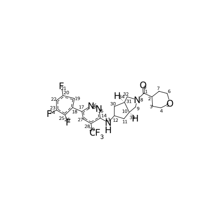 O=C(C1CCOCC1)N1C[C@H]2CC(Nc3nnc(-c4cc(F)cc(F)c4F)cc3C(F)(F)F)C[C@H]2C1